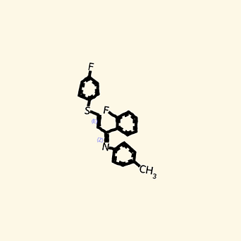 Cc1ccc(/N=C(/C=C/Sc2ccc(F)cc2)c2ccccc2F)cc1